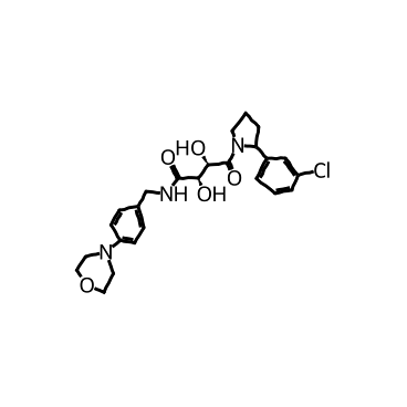 O=C(NCc1ccc(N2CCOCC2)cc1)[C@H](O)[C@@H](O)C(=O)N1CCCC1c1cccc(Cl)c1